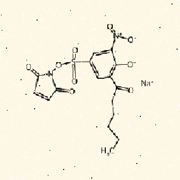 CCCCCC(=O)c1cc(S(=O)(=O)ON2C(=O)C=CC2=O)cc([N+](=O)[O-])c1[O-].[Na+]